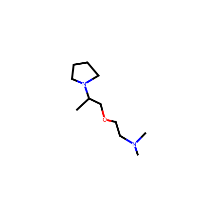 CC(COCCN(C)C)N1CCCC1